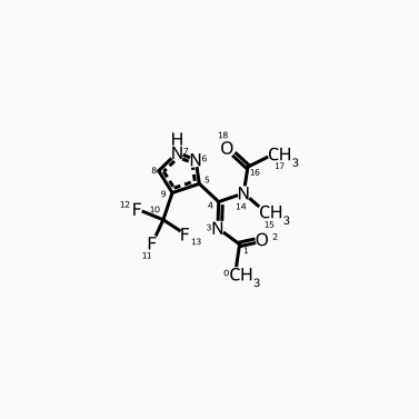 CC(=O)N=C(c1n[nH]cc1C(F)(F)F)N(C)C(C)=O